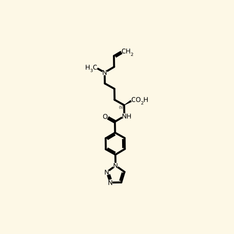 C=CCN(C)CCC[C@H](NC(=O)c1ccc(-n2ccnn2)cc1)C(=O)O